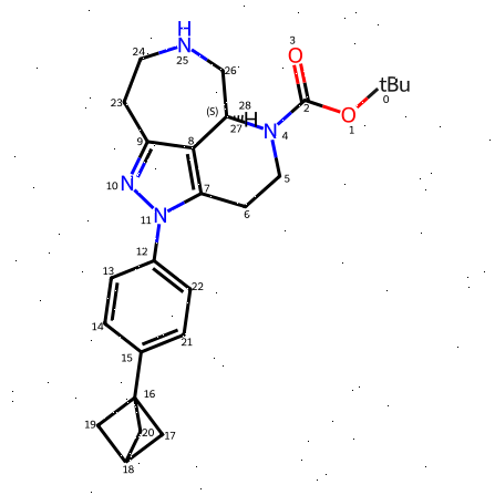 CC(C)(C)OC(=O)N1CCc2c3c(nn2-c2ccc(C45CC(C4)C5)cc2)CCNC[C@H]31